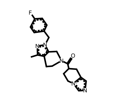 Cc1nn(Cc2ccc(F)cc2)c2c1CCN(C(=O)C1CCn3cncc3C1)C2